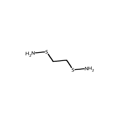 NSCCSN